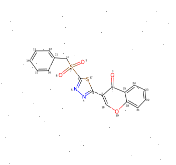 O=c1c(-c2nnc(S(=O)(=O)Cc3ccccc3)s2)coc2ccccc12